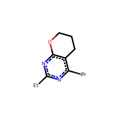 CCc1nc2c(c(C(C)C)n1)CCCO2